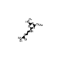 CCNC(=O)SCCNc1nc(NC(C)C)nc(OC)n1